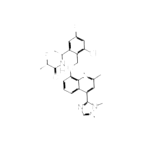 Cc1cc(-c2ncnn2C)c2cccc(OCc3c(Cl)cc(F)cc3[C@H](C)NC(=O)[C@@H](C)F)c2n1